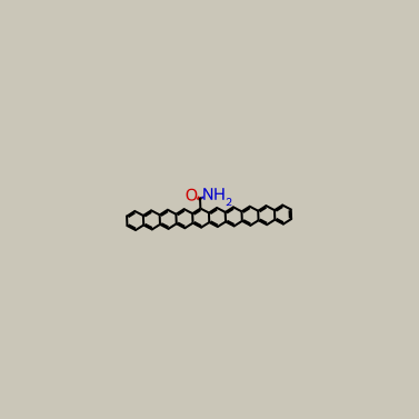 NC(=O)c1c2cc3cc4cc5ccccc5cc4cc3cc2cc2cc3cc4cc5cc6ccccc6cc5cc4cc3cc12